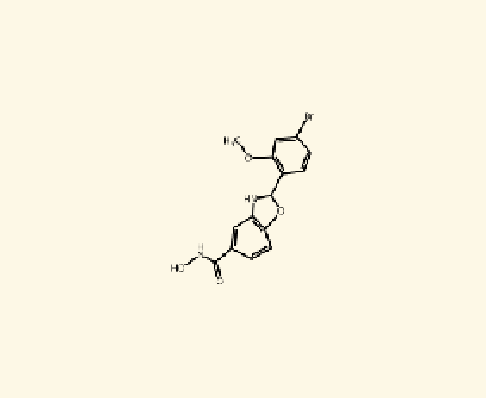 COc1cc(Br)ccc1C1Nc2cc(C(=O)NO)ccc2O1